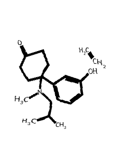 C=C.CC(C)CN(C)C1(c2cccc(O)c2)CCC(=O)CC1